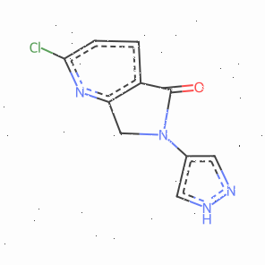 O=C1c2ccc(Cl)nc2CN1c1cn[nH]c1